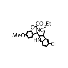 CCOC(=O)C(=O)N1CCC2=C(NC3C=CC(Cl)=CC23)C1c1ccc(OC)cc1